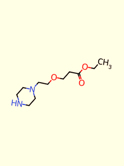 CCOC(=O)CCOCCN1CCNCC1